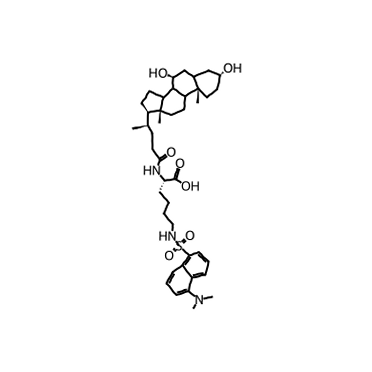 C[C@H](CCC(=O)N[C@@H](CCCCNS(=O)(=O)c1cccc2c(N(C)C)cccc12)C(=O)O)[C@H]1CCC2C3C(CC[C@@]21C)[C@@]1(C)CC[C@@H](O)CC1C[C@@H]3O